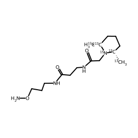 [13CH3][13C@@H]1CCC[13C@H]([13CH3])[15N]1CC(=O)NCCC(=O)NCCCON